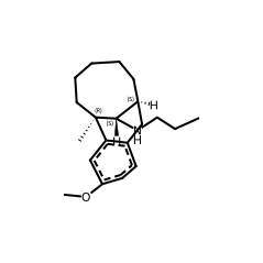 CCCN[C@H]1[C@H]2CCCCC[C@]1(C)c1cc(OC)ccc1C2